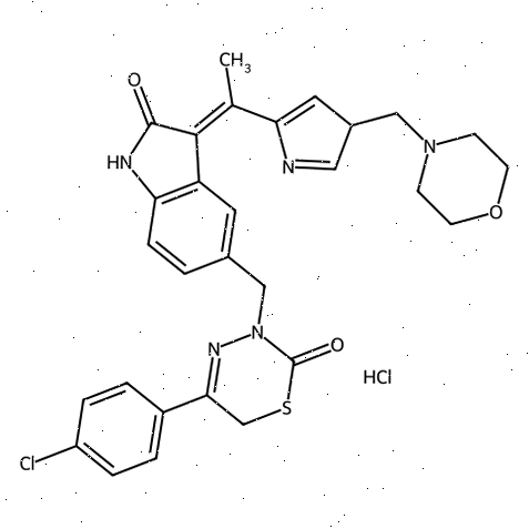 CC(C1=CC(CN2CCOCC2)C=N1)=C1C(=O)Nc2ccc(CN3N=C(c4ccc(Cl)cc4)CSC3=O)cc21.Cl